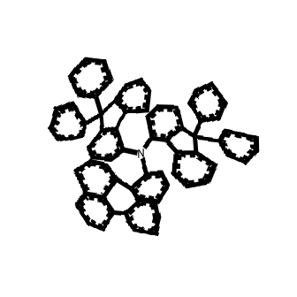 c1ccc(-c2cccc3cccc(-c4ccccc4N(c4cccc5c4-c4ccccc4C5(c4ccccc4)c4ccccc4)c4cccc5c4-c4ccccc4C5(c4ccccc4)c4ccccc4)c23)cc1